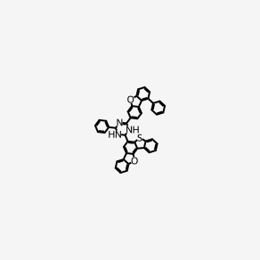 c1ccc(-c2cccc3oc4cc(C5=NC(c6ccccc6)NC(c6cc7c8ccccc8oc7c7c6sc6ccccc67)N5)ccc4c23)cc1